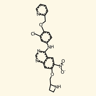 O=[N+]([O-])c1cc2c(Nc3ccc(OCc4ccccn4)c(Cl)c3)ncnc2cc1OCC1CCN1